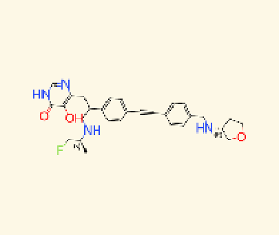 C[C@@H](CF)NCC(Cc1nc[nH]c(=O)c1O)c1ccc(C#Cc2ccc(CN[C@@H]3CCOC3)cc2)cc1